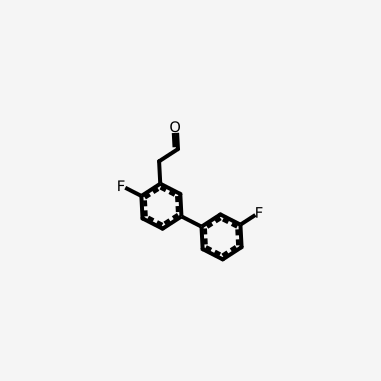 O=CCc1cc(-c2cccc(F)c2)ccc1F